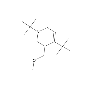 COCC1CN(C(C)(C)C)CC=C1C(C)(C)C